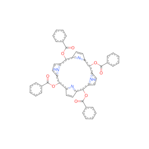 O=C(Oc1c2nc(c(OC(=O)c3ccccc3)c3ccc([nH]3)c(OC(=O)c3ccccc3)c3nc(c(OC(=O)c4ccccc4)c4ccc1[nH]4)C=C3)C=C2)c1ccccc1